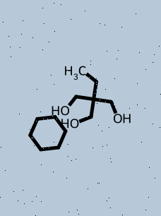 C1CCCCC1.CCC(CO)(CO)CO